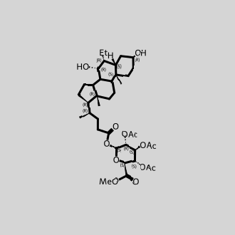 CC[C@H]1[C@@H](O)C2C3CC[C@H]([C@H](C)CCC(=O)O[C@@H]4O[C@H](C(=O)OC)[C@@H](OC(C)=O)[C@H](OC(C)=O)[C@H]4OC(C)=O)[C@@]3(C)CCC2[C@@]2(C)CC[C@@H](O)C[C@@H]12